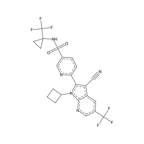 N#Cc1c(-c2ccc(S(=O)(=O)NC3(C(F)(F)F)CC3)cn2)n(C2CCC2)c2ncc(C(F)(F)F)cc12